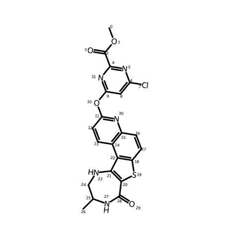 COC(=O)c1nc(Cl)cc(Oc2ccc3c(ccc4sc5c(c43)NCC(C)NC5=O)n2)n1